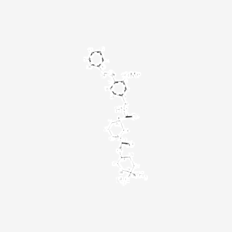 COc1cc(CNC(=O)[C@H]2CCCN(C(=O)OC3CCC(C)(C)CC3)C2)ccc1OCc1ccccc1